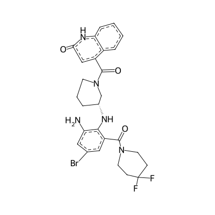 Nc1cc(Br)cc(C(=O)N2CCC(F)(F)CC2)c1N[C@@H]1CCCN(C(=O)c2cc(=O)[nH]c3ccccc23)C1